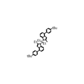 CCC1=Cc2c(-c3ccc(C(C)(C)C)cc3)cccc2C1[Si](CC)(CC)C1C(C)=Cc2c(-c3ccc(C(C)(C)C)cc3)cccc21